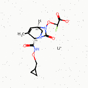 CC1=C[C@@H]2CN(C(=O)N2OC(F)C(=O)[O-])[C@@H]1C(=O)NOCC1CC1.[Li+]